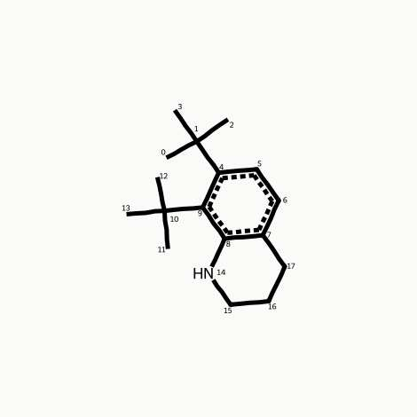 CC(C)(C)c1ccc2c(c1C(C)(C)C)NCCC2